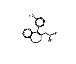 CCCN(CCC)CC1=C(c2cccc(O)c2)c2ccccc2CCC1